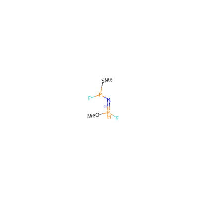 CO/[PH](F)=N\P(F)SC